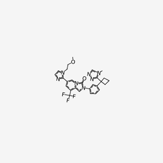 COCCn1ccnc1-c1cc(C(F)(F)F)c2cn(-c3cccc(C4(c5nncn5C)CCC4)c3)c(=O)n2c1